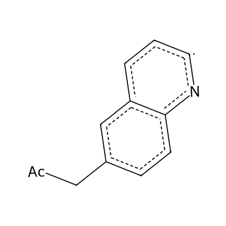 CC(=O)Cc1ccc2n[c]ccc2c1